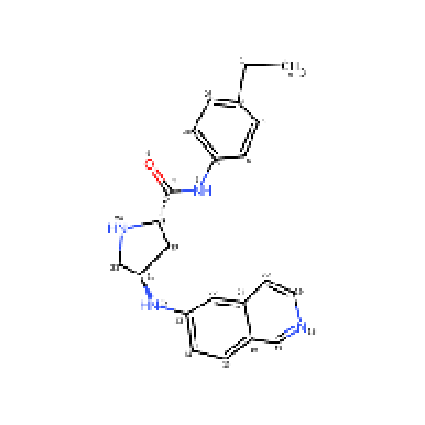 CCc1ccc(NC(=O)[C@@H]2C[C@@H](Nc3ccc4cnccc4c3)CN2)cc1